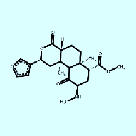 CN[C@@H]1C[C@@H](C(=O)OC)[C@]2(C)CC[C@H]3C(=O)O[C@H](c4ccoc4)C[C@]3(C)C2C1=O